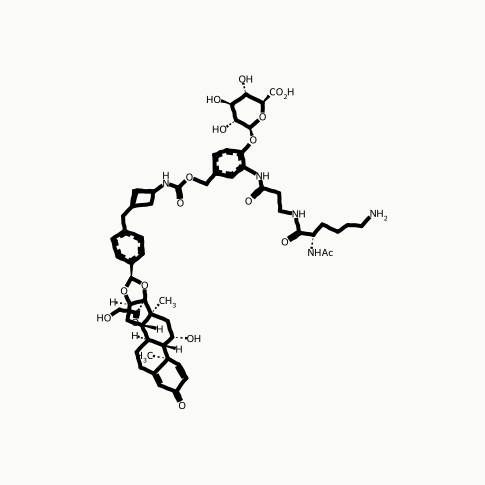 CC(=O)N[C@@H](CCCCN)C(=O)NCCC(=O)Nc1cc(COC(=O)NC23CC(Cc4ccc([C@@H]5O[C@@H]6C[C@H]7[C@@H]8CCC9=CC(=O)C=C[C@]9(C)[C@H]8[C@@H](O)C[C@]7(C)[C@]6(C(=O)CO)O5)cc4)(C2)C3)ccc1O[C@@H]1O[C@H](C(=O)O)[C@@H](O)[C@H](O)[C@H]1O